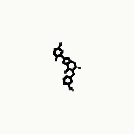 Cc1cnc(Cl)nc1-c1cn2c(n1)C(=O)N(Cc1ccnc(C(F)(F)F)c1)[C@@H](C)C2